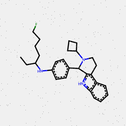 CCC(CCCCF)Nc1ccc(C2c3[nH]c4ccccc4c3CCN2C2CCC2)cc1